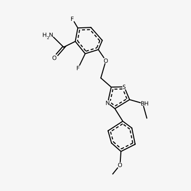 CBc1sc(COc2ccc(F)c(C(N)=O)c2F)nc1-c1ccc(OC)cc1